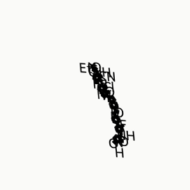 CCN(C)S(=O)(=O)Nc1ccc(F)c(Oc2ccc3ncn(C4CCC5(CCN(C(=O)CN6CCC(c7ccc(NC8CCC(=O)NC8=O)cc7F)CC6)CC5)C4)c(=O)c3c2Cl)c1C#N